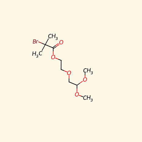 COC(COCCOC(=O)C(C)(C)Br)OC